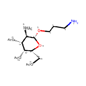 CC(=O)N[C@H]1[C@H](OCCCN)O[C@H](COC(C)=O)[C@H](OC(C)=O)[C@@H]1OC(C)=O